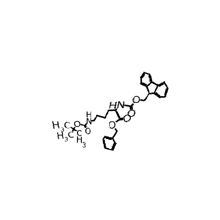 CC(C)(C)OC(=O)NCCCCC(NC(=O)OCC1c2ccccc2-c2ccccc21)C(=O)OCc1ccccc1